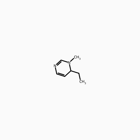 CCC1C=CN=CN1C